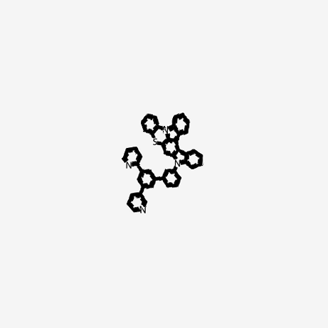 c1ccc(-c2cc(-c3cccnc3)cc(-c3cccc(-n4c5ccccc5c5c6c7ccccc7n7c6c(cc54)Sc4ccccc4-7)c3)c2)nc1